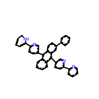 C1=CCNC(c2ccc(-c3c4ccccc4c(-c4ccc(-c5ccccn5)nc4)c4cc(-c5ccccc5)ccc34)cn2)=C1